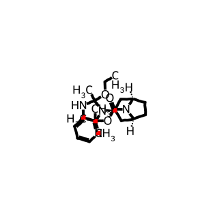 CCOC1(C)Nc2cccnc2N1[C@H]1C[C@H]2CC[C@@H](C1)N2C(=O)OC(C)(C)C